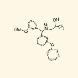 CC(C)(C)Oc1cccc(C(NCC(O)C(F)(F)F)c2cccc(Oc3ccccc3)c2)c1